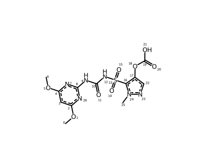 COc1cc(OC)nc(NC(=O)NS(=O)(=O)c2c(OC(=O)O)cnn2C)n1